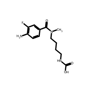 CN(CCCCNC(=O)O)C(=O)c1ccc(N)c(F)c1